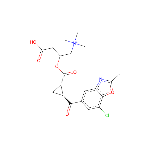 Cc1nc2cc(C(=O)[C@H]3C[C@@H]3C(=O)OC(CC(=O)O)C[N+](C)(C)C)cc(Cl)c2o1